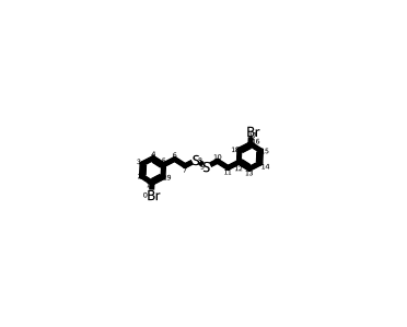 Brc1cccc(CCSSCCc2cccc(Br)c2)c1